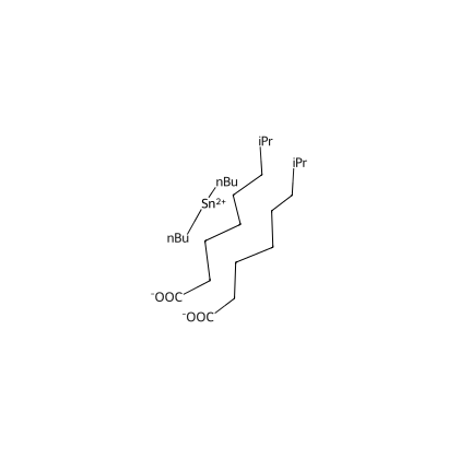 CC(C)CCCCCC(=O)[O-].CC(C)CCCCCC(=O)[O-].CCC[CH2][Sn+2][CH2]CCC